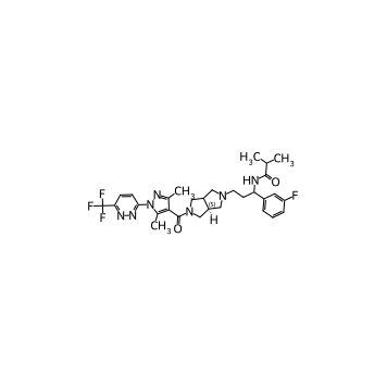 Cc1nn(-c2ccc(C(F)(F)F)nn2)c(C)c1C(=O)N1CC2CN(CCC(NC(=O)C(C)C)c3cccc(F)c3)C[C@H]2C1